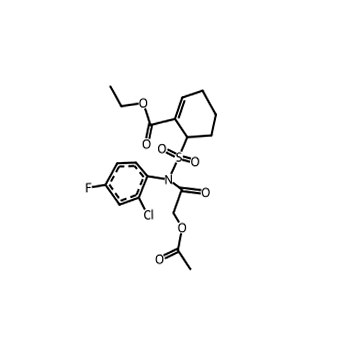 CCOC(=O)C1=CCCCC1S(=O)(=O)N(C(=O)COC(C)=O)c1ccc(F)cc1Cl